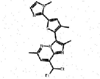 CCC(CC)c1cc(C)nn2c(-c3sc(-c4nccn4C)cc3C)c(C)nc12